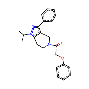 CC(C)n1nc(-c2ccccc2)c2c1CCN(C(=O)COc1ccccc1)C2